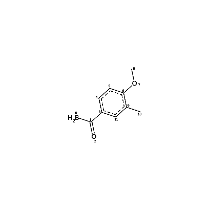 BC(=O)c1ccc(OC)c(C)c1